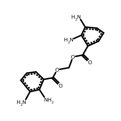 Nc1cccc(C(=O)OCOC(=O)c2cccc(N)c2N)c1N